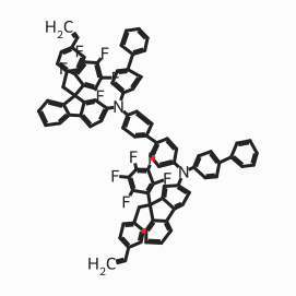 C=Cc1ccc(CC2(c3c(F)c(F)c(F)c(F)c3F)c3ccccc3-c3ccc(N(c4ccc(-c5ccccc5)cc4)c4ccc(-c5ccc(N(c6ccc(-c7ccccc7)cc6)c6ccc7c(c6)C(Cc6ccc(C=C)cc6)(c6c(F)c(F)c(F)c(F)c6F)c6ccccc6-7)cc5)cc4)cc32)cc1